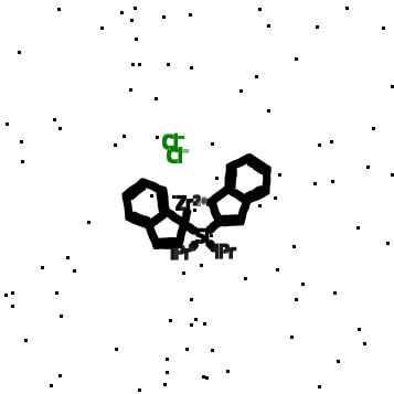 CC(C)[Si]1(C(C)C)C2=Cc3ccccc3[CH]2[Zr+2][C]12C=Cc1ccccc12.[Cl-].[Cl-]